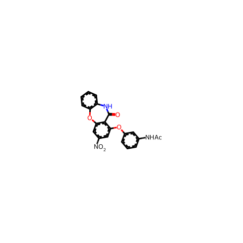 CC(=O)Nc1cccc(Oc2cc([N+](=O)[O-])cc3c2C(=O)Nc2ccccc2O3)c1